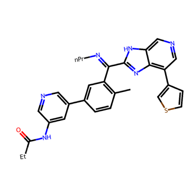 CCC/N=C(/c1nc2c(-c3ccsc3)cncc2[nH]1)c1cc(-c2cncc(NC(=O)CC)c2)ccc1C